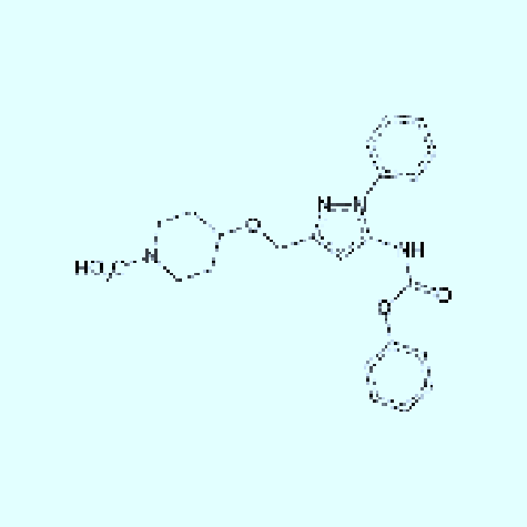 O=C(Nc1cc(COC2CCN(C(=O)O)CC2)nn1-c1ccccc1)Oc1ccccc1